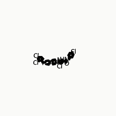 O=C(NCc1ccc(Cl)cc1)c1cnc(N2CCN(C3CCN(Cc4ccc(Cl)cc4Cl)CC3)CC2)c(Cl)c1